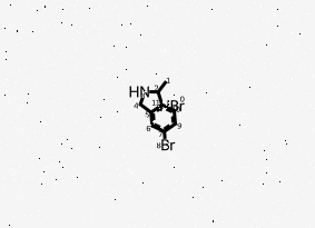 Br.CC1NCc2cc(Br)ccc21